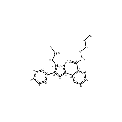 CCCCOC(=O)c1ccccc1-c1cc(-c2ccccc2)n(COC)n1